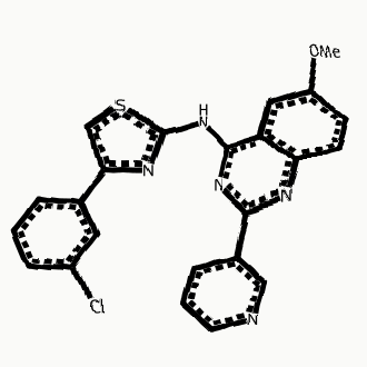 COc1ccc2nc(-c3cccnc3)nc(Nc3nc(-c4cccc(Cl)c4)cs3)c2c1